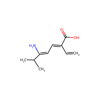 C=C/C(=C\C=C(/N)C(C)C)C(=O)O